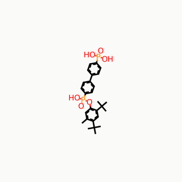 Cc1cc(OP(=O)(O)c2ccc(-c3ccc(P(=O)(O)O)cc3)cc2)c(C(C)(C)C)cc1C(C)(C)C